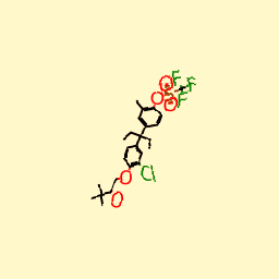 CCC(CC)(c1ccc(OS(=O)(=O)C(F)(F)F)c(C)c1)c1ccc(OCC(=O)C(C)(C)C)c(Cl)c1